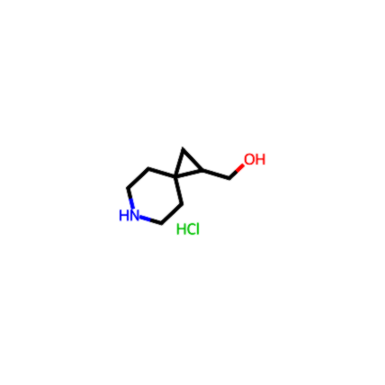 Cl.OCC1CC12CCNCC2